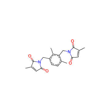 CC1=CC(=O)N(Cc2ccc(C)c(CN3C(=O)C=C(C)C3=O)c2C)C1=O